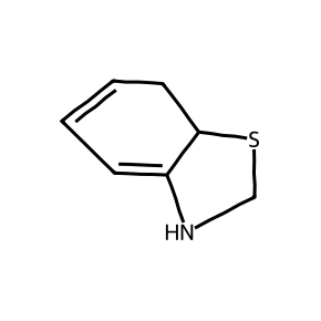 C1=CCC2SCNC2=C1